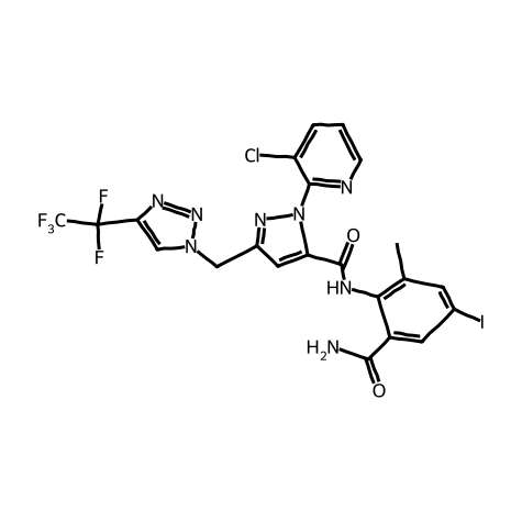 Cc1cc(I)cc(C(N)=O)c1NC(=O)c1cc(Cn2cc(C(F)(F)C(F)(F)F)nn2)nn1-c1ncccc1Cl